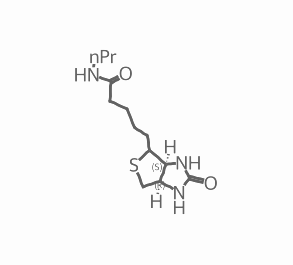 CCCNC(=O)CCCCC1SC[C@@H]2NC(=O)N[C@H]12